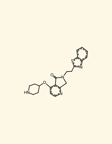 O=C1c2c(OC3CCNCC3)ccnc2CN1CCc1nc2ccccc2s1